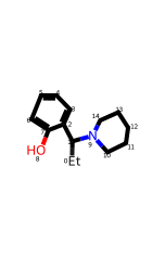 CCC(c1ccccc1O)N1CCCCC1